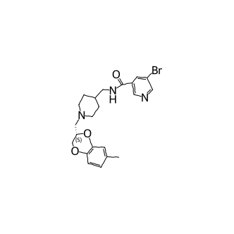 Cc1ccc2c(c1)O[C@@H](CN1CCC(CNC(=O)c3cncc(Br)c3)CC1)CO2